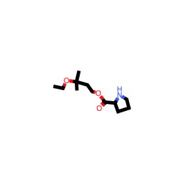 CCOC(C)(C)CCOC(=O)C1CCCN1